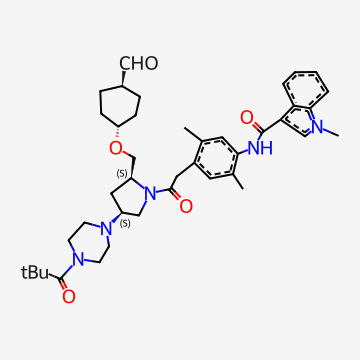 Cc1cc(NC(=O)c2cn(C)c3ccccc23)c(C)cc1CC(=O)N1C[C@@H](N2CCN(C(=O)C(C)(C)C)CC2)C[C@H]1CO[C@H]1CC[C@H](C=O)CC1